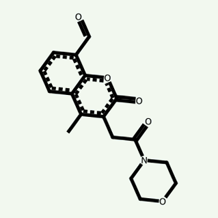 Cc1c(CC(=O)N2CCOCC2)c(=O)oc2c(C=O)cccc12